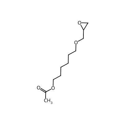 CC(=O)OCCCCCCOCC1CO1